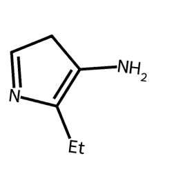 CCC1=C(N)CC=N1